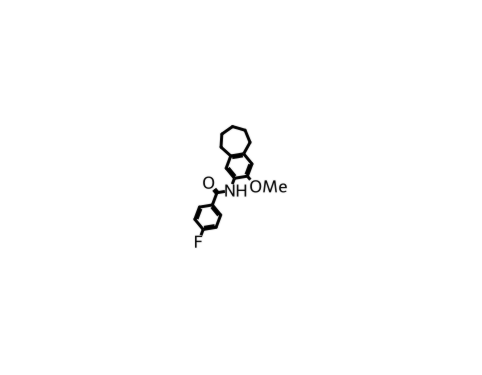 COc1cc2c(cc1NC(=O)c1ccc(F)cc1)CCCCC2